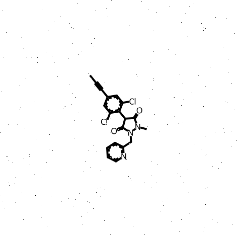 CC#Cc1cc(Cl)c(C2C(=O)N(C)N(Cc3ccccn3)C2=O)c(Cl)c1